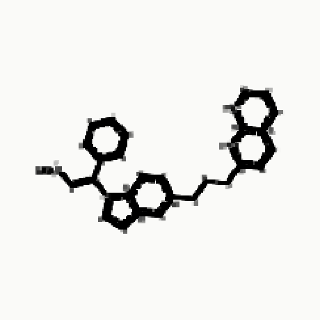 CCOC(=O)C=C(c1ccccc1)n1ccc2cc(CCCc3ccc4cccnc4n3)ccc21